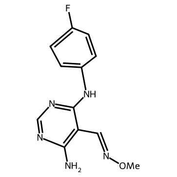 CO/N=C/c1c(N)ncnc1Nc1ccc(F)cc1